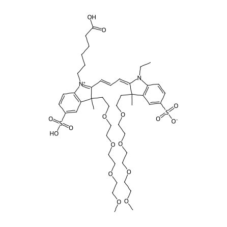 CCN1/C(=C/C=C/C2=[N+](CCCCCC(=O)O)c3ccc(S(=O)(=O)O)cc3C2(C)CCOCCOCCOCCOC)C(C)(CCOCCOCCOCCOC)c2cc(S(=O)(=O)[O-])ccc21